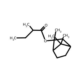 CCC(C)C(=O)OC1(C)CC2CCC1C2(C)C